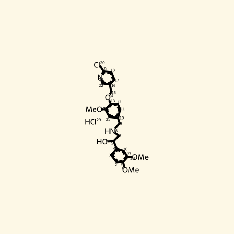 COc1ccc(C(O)CNCc2ccc(OCc3ccc(Cl)nc3)c(OC)c2)cc1OC.Cl